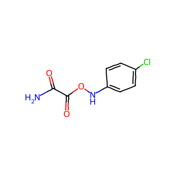 NC(=O)C(=O)ONc1ccc(Cl)cc1